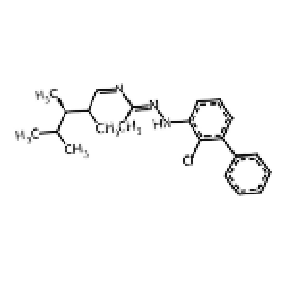 CC(/N=C\C(C)[C@H](C)C(C)C)=N\Nc1cccc(-c2ccccc2)c1Cl